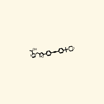 CC(O)c1nccn1Cc1cc(-c2ccc(C#Cc3ccc(C(C)(C)N4CCOCC4)cc3)cc2)on1